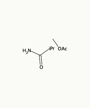 CC(C)C(N)=O.COC(C)=O